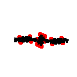 CC(C)N1C(=O)c2ccc3c4ccc5c6c(ccc(c7ccc(c2c37)C1=O)c64)C(=O)N(CCc1ccc(Oc2cc3c4c(ccc6c7c(Oc8ccc(CCN9C(=O)c%10ccc%11c%12ccc%13c%14c(ccc(c%15ccc(c%10c%11%15)C9=O)c%14%12)C(=O)N(C(C)C)C%13=O)cc8)cc8c9c(ccc(c2c46)c97)C(=O)OC8=O)C(=O)OC3=O)cc1)C5=O